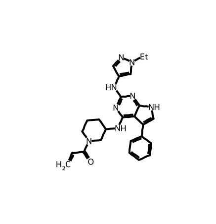 C=CC(=O)N1CCCC(Nc2nc(Nc3cnn(CC)c3)nc3[nH]cc(-c4ccccc4)c23)C1